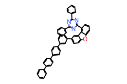 c1ccc(-c2ccc(-c3ccc(-c4cccc(-c5ccc6oc7cccc(-c8nc(-c9ccccc9)nc(-c9ccccc9)n8)c7c6c5)c4)cc3)cc2)cc1